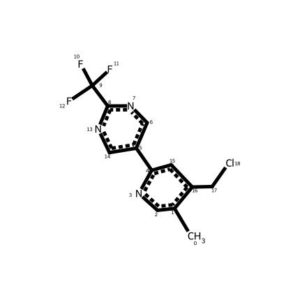 Cc1cnc(-c2cnc(C(F)(F)F)nc2)cc1CCl